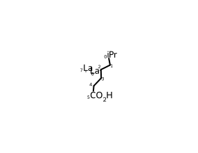 CC(C)CCCCC(=O)O.[La].[La]